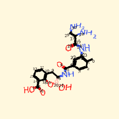 Cc1ccc(C(=O)NC2Cc3cccc(C(=O)O)c3OB2O)cc1NC(=O)C(N)CN